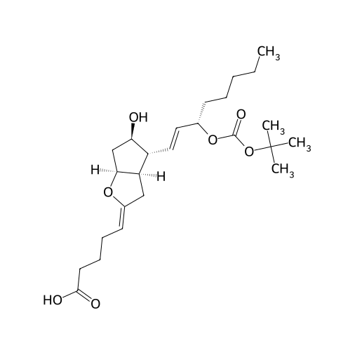 CCCCC[C@@H](/C=C/[C@@H]1[C@H]2C/C(=C/CCCC(=O)O)O[C@H]2C[C@H]1O)OC(=O)OC(C)(C)C